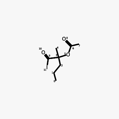 CCCC(C)(OC(C)=O)C(=O)I